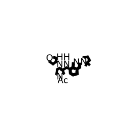 CC(=O)N1CCC(NC2CCOCC2)=C(C(=N)c2cccc3cc(N4CCCC4(C)C)ncc23)C1